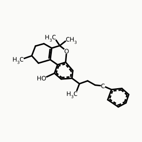 CC1CCC2=C(C1)c1c(O)cc(C(C)CCCc3ccccc3)cc1OC2(C)C